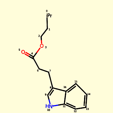 CC(C)CCOC(=O)CCc1c[nH]c2ccccc12